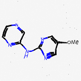 COc1cnc(Nc2cnccn2)nc1